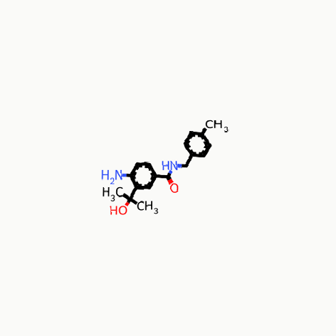 Cc1ccc(CNC(=O)c2ccc(N)c(C(C)(C)O)c2)cc1